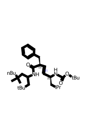 CCCCC(C)(C)CC(CC(C)(C)C)NC(=O)[C@H](/C=C/[C@H](CC(C)C)NC(=O)OC(C)(C)C)Cc1ccccc1